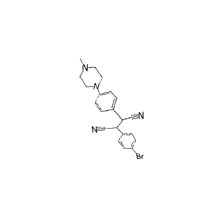 CN1CCN(c2ccc(C(C#N)C(C#N)c3ccc(Br)cc3)cc2)CC1